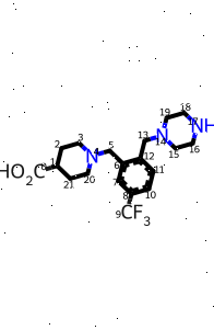 O=C(O)C1CCN(Cc2cc(C(F)(F)F)ccc2CN2CCNCC2)CC1